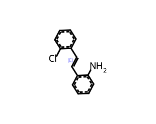 Nc1ccccc1/C=C/c1ccccc1Cl